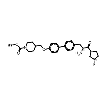 CC(C)OC(=O)N1CCC(COc2ccc(-c3ccc(C[C@H](N)C(=O)N4CC[C@H](F)C4)cc3)cc2)CC1